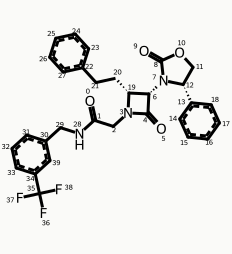 O=C(CN1C(=O)[C@@H](N2C(=O)OC[C@@H]2c2ccccc2)[C@H]1CCc1ccccc1)NCc1cccc(C(F)(F)F)c1